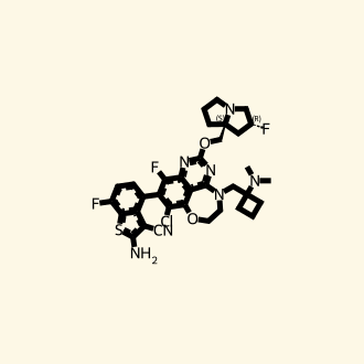 CN(C)C1(CN2CCOc3c(Cl)c(-c4ccc(F)c5sc(N)c(C#N)c45)c(F)c4nc(OC[C@@]56CCCN5C[C@H](F)C6)nc2c34)CCC1